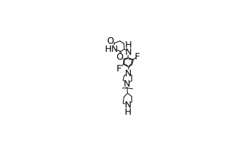 CC(C)(C1CCNCC1)N1CCN(c2cc(F)c(NC3CCC(=O)NC3=O)cc2F)CC1